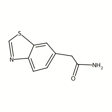 NC(=O)Cc1ccc2ncsc2c1